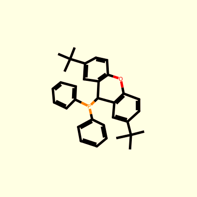 CC(C)(C)c1ccc2c(c1)C(P(c1ccccc1)c1ccccc1)c1cc(C(C)(C)C)ccc1O2